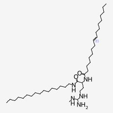 CCCCCCCC/C=C/CCCCCCCC(=O)NC(CCNC(N)NC)C(=O)NCCCCCCCCCCCCCCCC